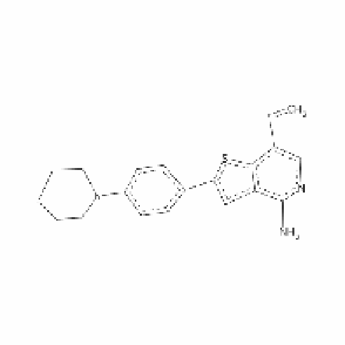 C=Cc1cnc(N)c2cc(-c3ccc(N4CCCCC4)cc3)sc12